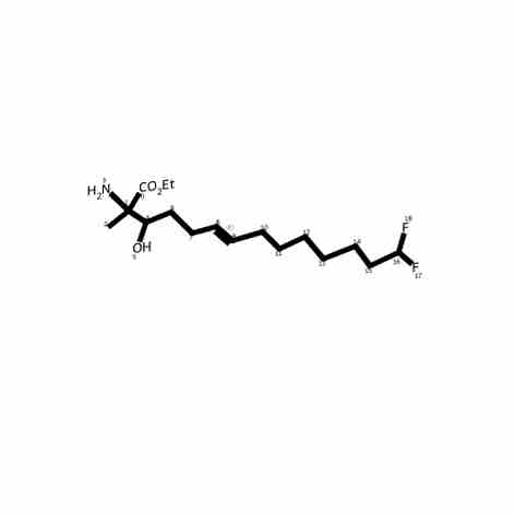 CCOC(=O)C(C)(N)C(O)CC/C=C/CCCCCCC(F)F